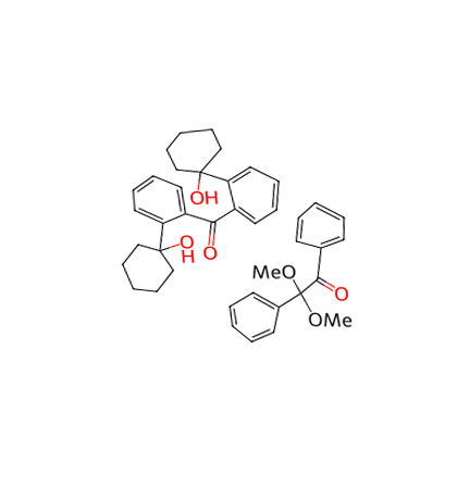 COC(OC)(C(=O)c1ccccc1)c1ccccc1.O=C(c1ccccc1C1(O)CCCCC1)c1ccccc1C1(O)CCCCC1